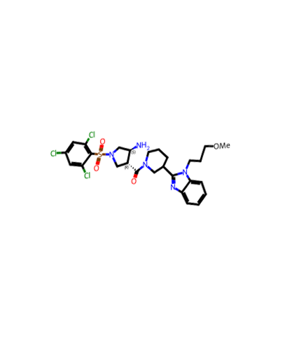 COCCCn1c(C2CCCN(C(=O)[C@@H]3CN(S(=O)(=O)c4c(Cl)cc(Cl)cc4Cl)C[C@H]3N)C2)nc2ccccc21